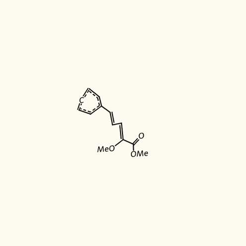 COC(=O)/C(=C/C=C/c1ccccc1)OC